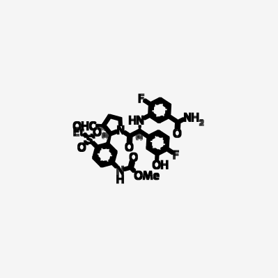 CCS(=O)(=O)c1ccc(NC(=O)OC)cc1[C@H]1[C@@H](C=O)CCN1C(=O)[C@H](Nc1cc(C(N)=O)ccc1F)c1ccc(F)c(O)c1